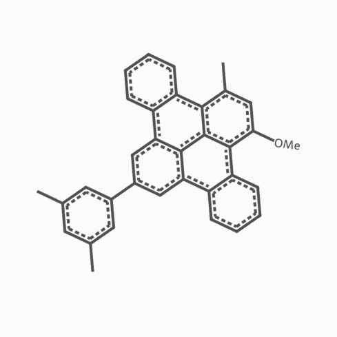 COc1cc(C)c2c3ccccc3c3cc(-c4cc(C)cc(C)c4)cc4c5ccccc5c1c2c34